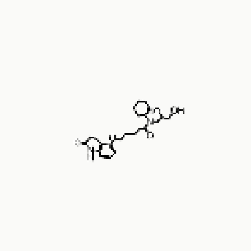 O=C1CCc2c(cccc2OCCCCC(=O)N(CC(O)CO)C2CCCCC2)N1